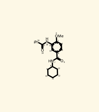 COc1ccc(C(=O)NC2CCCCC2)cc1NC(=O)C(C)C